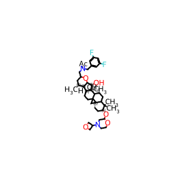 CC(=O)N(Cc1cc(F)cc(F)c1)CC1C[C@@H](C)[C@H]2C(O1)[C@H](O)[C@@]1(C)C3CCC4C(C)(C)[C@@H](OC5CN(C6COC6)CCO5)CC[C@@]45CC35CC[C@]21C